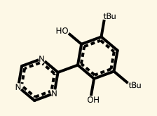 CC(C)(C)c1cc(C(C)(C)C)c(O)c(-c2ncncn2)c1O